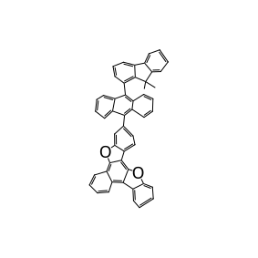 CC1(C)c2ccccc2-c2cccc(-c3c4ccccc4c(-c4ccc5c(c4)oc4c6ccccc6c6c7ccccc7oc6c54)c4ccccc34)c21